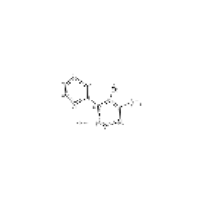 CCc1c(N)ncc(F)c1-c1ccccc1